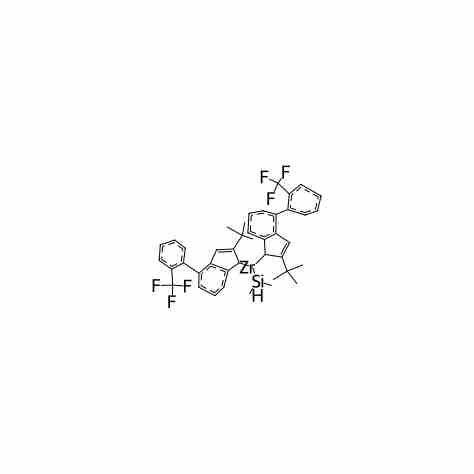 C[SiH](C)[Zr]([CH]1C(C(C)(C)C)=Cc2c(-c3ccccc3C(F)(F)F)cccc21)[CH]1C(C(C)(C)C)=Cc2c(-c3ccccc3C(F)(F)F)cccc21